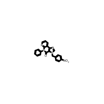 O=c1c2c(ncn2Cc2ccc([N+](=O)[O-])cc2)c2cccnc2n1-c1ccccc1